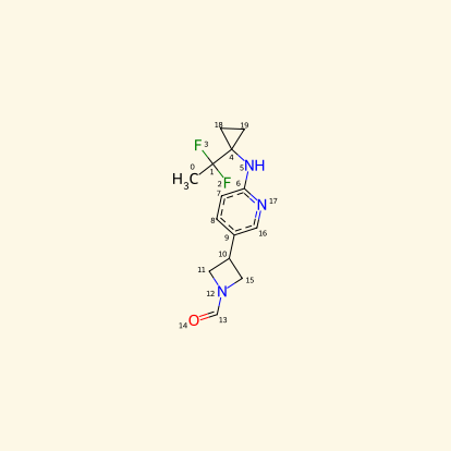 CC(F)(F)C1(Nc2ccc(C3CN(C=O)C3)cn2)CC1